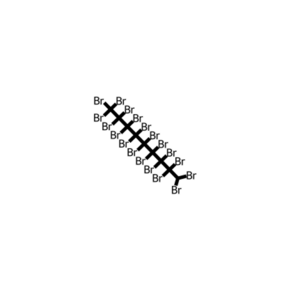 BrC(Br)C(Br)(Br)C(Br)(Br)C(Br)(Br)C(Br)(Br)C(Br)(Br)C(Br)(Br)C(Br)(Br)C(Br)(Br)Br